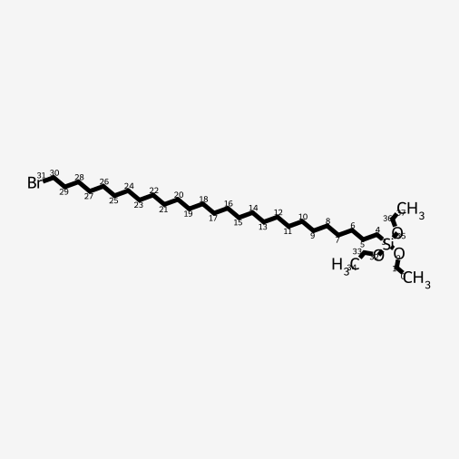 CCO[Si](CCCCCCCCCCCCCCCCCCCCCCCCCCCBr)(OCC)OCC